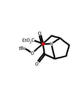 CCOC(=O)C1CC2CCC(C1=O)N2C(=O)OC(C)(C)C